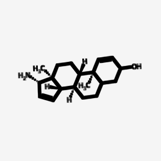 C[C@]12CC[C@H]3[C@@H](CCC4CC(O)C=C[C@@]43C)[C@@H]1C=C[C@@H]2N